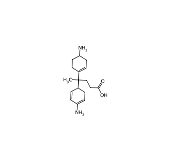 CC(CCC(=O)O)(C1=CCC(N)CC1)C1C=CC(N)=CC1